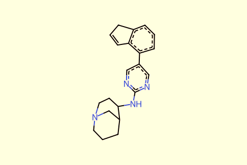 C1=Cc2c(cccc2-c2cnc(NC3CCN4CCCC3C4)nc2)C1